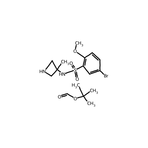 CC(C)(C)OC=O.COc1ccc(Br)cc1S(=O)(=O)NC1(C)CNC1